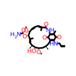 C=CCNC1=C2C[C@@H](C)C[C@H](OC)[C@H](O)[C@@H](C)/C=C(\C)[C@H](OC(N)=O)[C@H](OC)/C=C\C=C(/C)C(=O)NC(=C(C)C1=O)C2=O